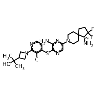 CC(C)(O)C1CN(c2nccc(Sc3ncc(N4CCC5(CC4)CCC(F)(F)[C@H]5N)nc3N)c2Cl)C1